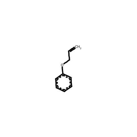 C=CCOc1[c]cccc1